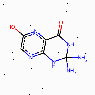 NC1(N)NC(=O)c2nc(O)cnc2N1